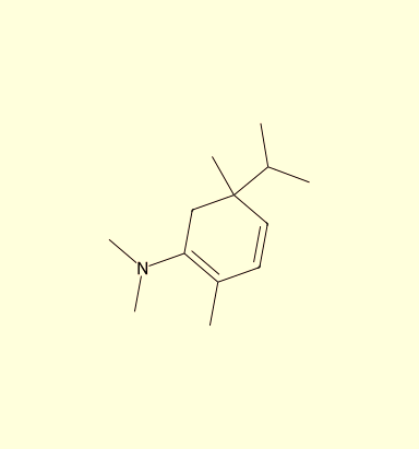 CC1=C(N(C)C)CC(C)(C(C)C)C=C1